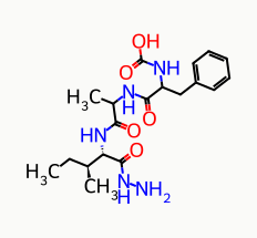 CC[C@H](C)[C@H](NC(=O)C(C)NC(=O)C(Cc1ccccc1)NC(=O)O)C(=O)NN